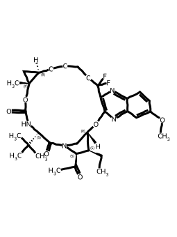 CC[C@@H]1[C@@H]2CN(C(=O)[C@H](C(C)(C)C)NC(=O)O[C@]3(C)C[C@H]3CCCCC(F)(F)c3nc4ccc(OC)cc4nc3O2)[C@@H]1C(C)=O